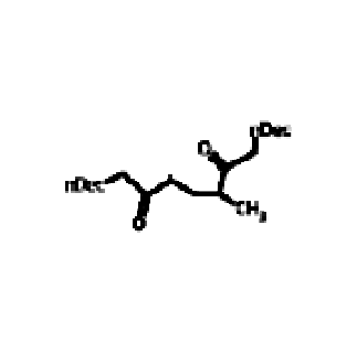 CCCCCCCCCCCC(=O)[CH]CC(C)C(=O)CCCCCCCCCCC